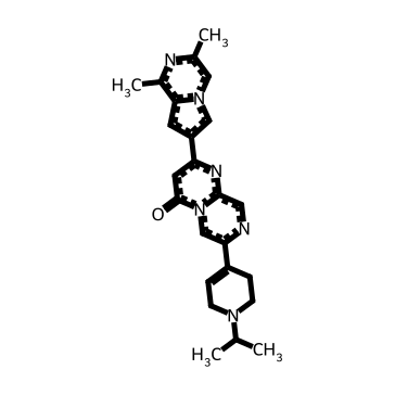 Cc1cn2cc(-c3cc(=O)n4cc(C5=CCN(C(C)C)CC5)ncc4n3)cc2c(C)n1